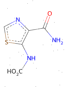 NC(=O)c1ncsc1NC(=O)O